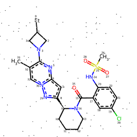 CCC1CN(c2nc3cc([C@@H]4CCCCN4C(=O)c4cc(Cl)ccc4NS(C)(=O)=O)nn3cc2C)C1